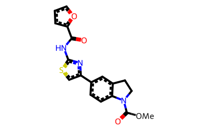 COC(=O)N1CCc2cc(-c3csc(NC(=O)c4ccco4)n3)ccc21